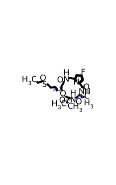 C/C=C1\NC(=O)c2cc(F)cc(n2)CNC(=O)C[C@@H](/C=C/CCSC(=O)CC)OC(=O)[C@H](C(C)C)NC1=O